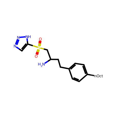 CCCCCCCCc1ccc(CCC(N)CS(=O)(=O)c2cnn[nH]2)cc1